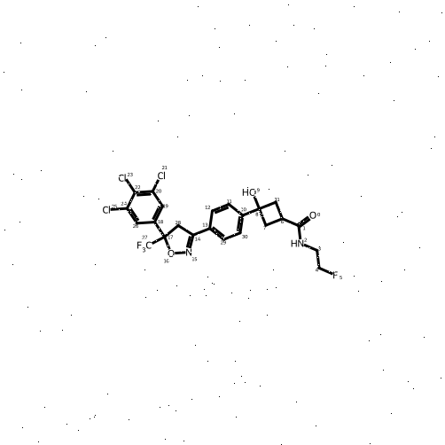 O=C(NCCF)C1CC(O)(c2ccc(C3=NOC(c4cc(Cl)c(Cl)c(Cl)c4)(C(F)(F)F)C3)cc2)C1